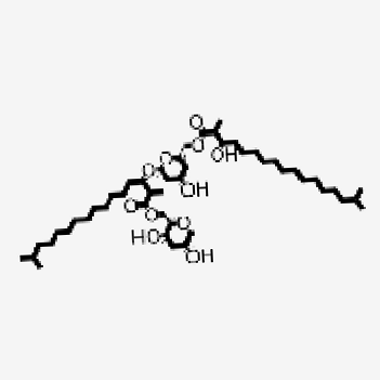 CC(C)CCCCCCCCCCCCC(O)C(C)C(=O)OC[C@@H]1C[C@H](O)C[C@H](OC(CCCCCCCCCCCC(C)C)C(C)C(=O)OC[C@H]2OC[C@H](O)C[C@@H]2O)O1